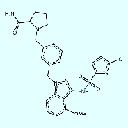 COc1cccc2c1c(NS(=O)(=O)c1ccc(Cl)s1)nn2Cc1cccc(CN2CCC[C@@H]2C(N)=O)c1